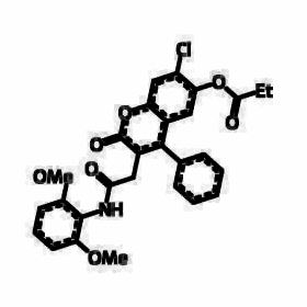 CCC(=O)Oc1cc2c(-c3ccccc3)c(CC(=O)Nc3c(OC)cccc3OC)c(=O)oc2cc1Cl